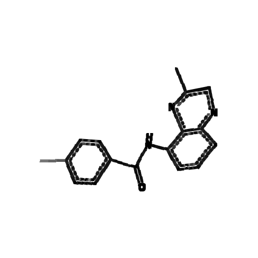 Cc1ccc(C(=O)Nc2cccc3ncc(C)nc23)cc1